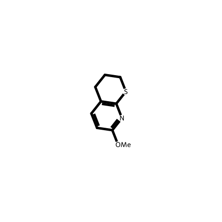 COc1ccc2c(n1)SCCC2